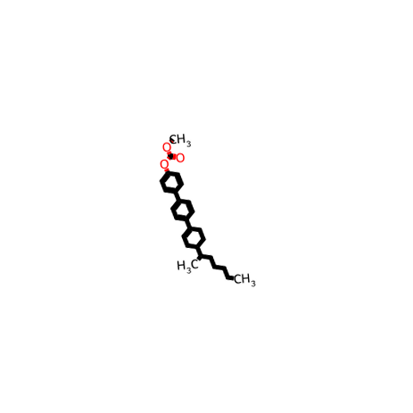 CCCCCC(C)C1CC=C(c2ccc(-c3ccc(OC(=O)OC)cc3)cc2)CC1